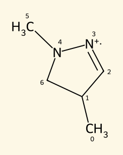 CC1C=[N+]N(C)C1